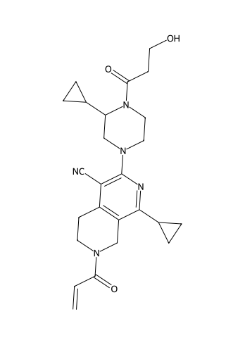 C=CC(=O)N1CCc2c(C#N)c(N3CCN(C(=O)CCO)C(C4CC4)C3)nc(C3CC3)c2C1